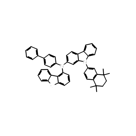 CC1(C)CCC(C)(C)c2cc(-n3c4ccccc4c4ccc(N(c5ccc(-c6ccccc6)cc5)c5cccc6oc7ccccc7c56)cc43)ccc21